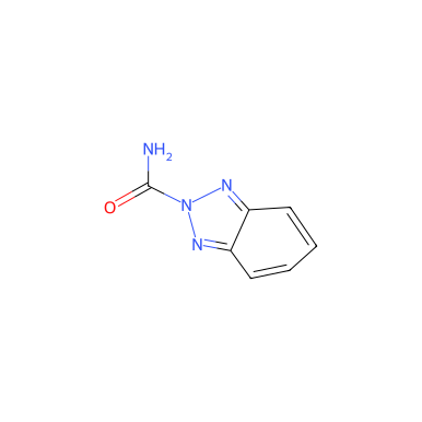 NC(=O)n1nc2ccccc2n1